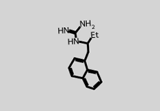 [CH2]CC(Cc1cccc2ccccc12)NC(=N)N